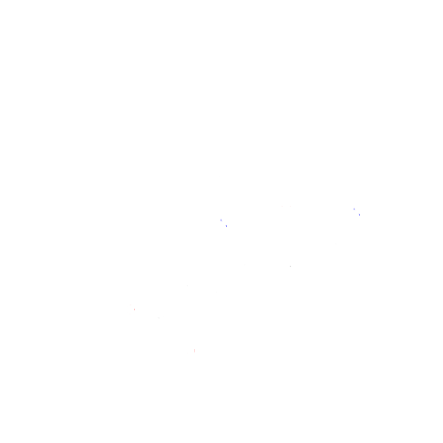 C=C(c1c(C)c(C(=O)OC(C)C)cc2cc(-c3ccccc3)cn12)C1CNCCO1